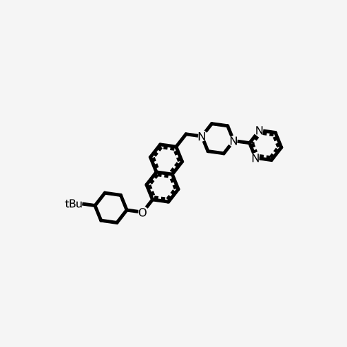 CC(C)(C)C1CCC(Oc2ccc3cc(CN4CCN(c5ncccn5)CC4)ccc3c2)CC1